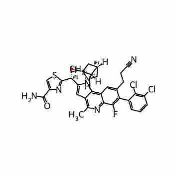 Cc1nc2c(F)c(-c3cccc(Cl)c3Cl)c(CCC#N)cc2c2c1cc([C@@H](C)c1nc(C(N)=O)cs1)n2[C@H]1[C@H]2CN[C@@H]1C2